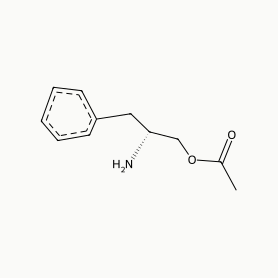 CC(=O)OC[C@H](N)Cc1ccccc1